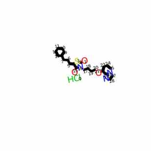 Cl.O=C1SC(=CCCc2ccccc2)C(=O)N1CCCCOc1cccn2ccnc12